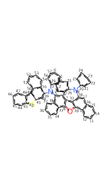 c1ccc(N(c2cc3c(oc4c5ccccc5cc(N(c5ccccc5)c5ccccc5)c34)c3ccccc23)c2cc3sc4ccccc4c3c3ccccc23)cc1